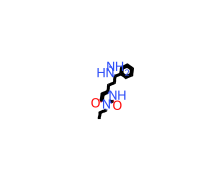 CCCn1c(=O)cc(CCC(NN)c2ccccc2)[nH]c1=O